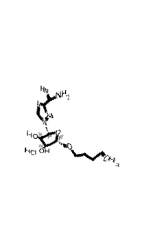 CCCCCOC[C@H]1O[C@@H](n2cnc(C(=N)N)n2)[C@H](O)[C@@H]1O.Cl